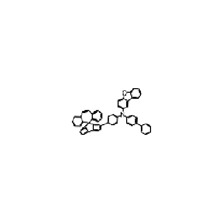 C1=Cc2ccccc2C2(c3ccccc31)c1ccccc1-c1ccc(-c3ccc(N(c4ccc(-c5ccccc5)cc4)c4ccc5oc6ccccc6c5c4)cc3)cc12